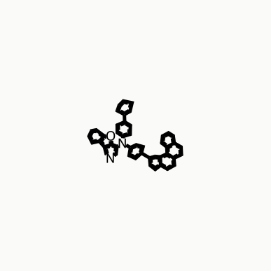 c1ccc(-c2ccc(N(c3ccc(-c4ccc5ccc6ccc7ccccc7c6c5c4)cc3)c3cncc4c3oc3ccccc34)cc2)cc1